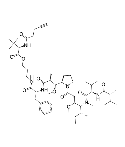 C#CCCC(=O)N[C@@H](C(=O)OCCCNC(=O)[C@@H](Cc1ccccc1)NC(=O)[C@@H](C)[C@H](OC)[C@H]1CCCN1C(=O)C[C@H](OC)[C@@H]([C@H](C)CC)N(C)C(=O)[C@H](NC(=O)[C@H](C)C(C)C)C(C)C)C(C)(C)C